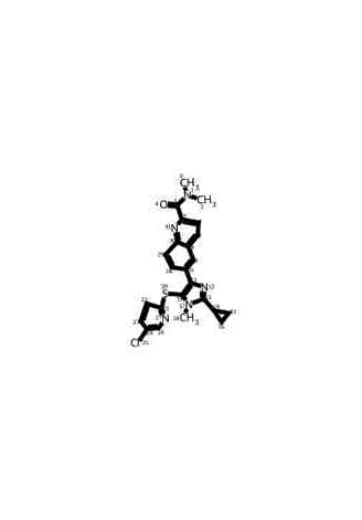 CN(C)C(=O)c1ccc2cc(-c3nc(C4CC4)n(C)c3Sc3ccc(Cl)cn3)ccc2n1